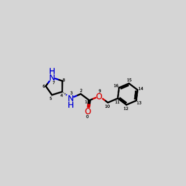 O=C(CN[C@@H]1CCNC1)OCc1ccccc1